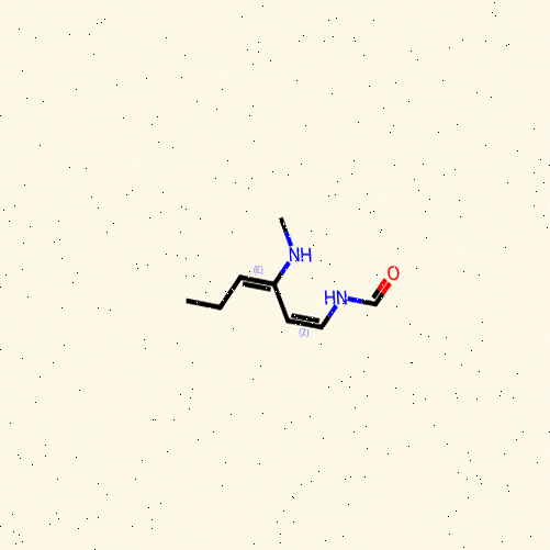 CC/C=C(\C=C/NC=O)NC